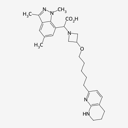 Cc1cc(C(C(=O)O)N2CC(OCCCCCc3ccc4c(n3)NCCC4)C2)c2c(c1)c(C)nn2C